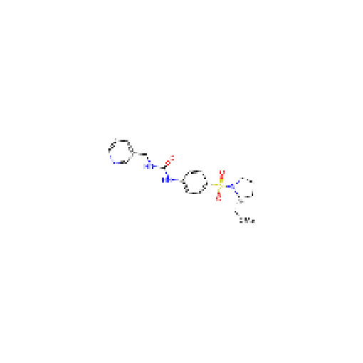 COC[C@H]1CCCN1S(=O)(=O)c1ccc(NC(=O)NCc2cccnc2)cc1